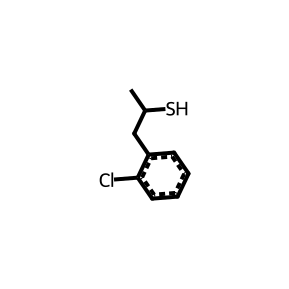 CC(S)Cc1ccccc1Cl